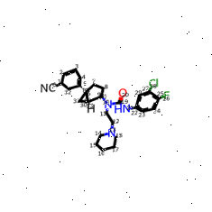 N#CC1C=CC=C([C@]23CC[C@@H](N(CCN4CCCCC4)C(=O)Nc4ccc(F)c(Cl)c4)[C@H]2C3)C1